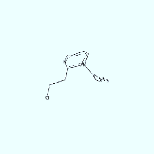 Cn1ccnc1CCCl